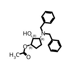 CC(=O)O[C@@H]1CC[C@@H](N(Cc2ccccc2)Cc2ccccc2)[C@H]1O